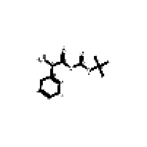 CC(C)(C)OC(=O)OC(=O)C(N)C1=CCC=CC1